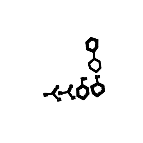 CC(=O)c1ccccc1.CC(C)(C)c1ccccc1.CCC(=O)CC.CCC(=O)CC.c1ccc(C2CCCCC2)cc1